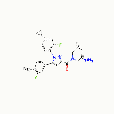 C[C@@H]1C[C@@H](N)CN(C(=O)c2cc(-c3ccc(C#N)c(F)c3)n(-c3ccc(C4CC4)cc3F)n2)C1